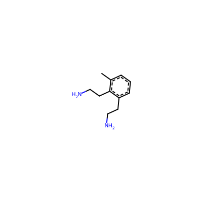 Cc1cccc(CCN)c1CCN